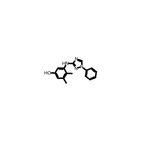 Cc1cc(O)cc(Nc2ncn(-c3ccccc3)n2)c1C